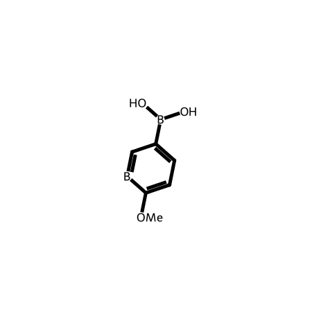 COc1bcc(B(O)O)cc1